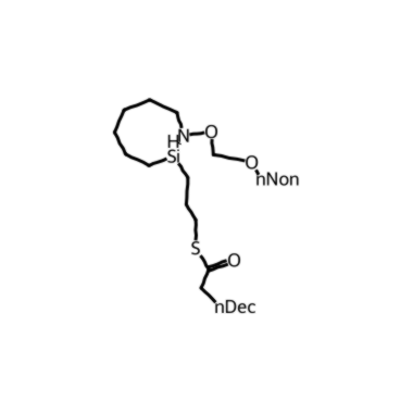 CCCCCCCCCCCC(=O)SCCC[SiH]1CCCCCCN1OCOCCCCCCCCC